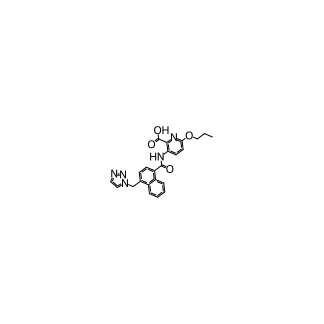 CCCOc1ccc(NC(=O)c2ccc(Cn3ccnn3)c3ccccc23)c(C(=O)O)n1